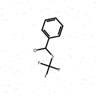 [O]C(SC(F)(F)F)c1ccccc1